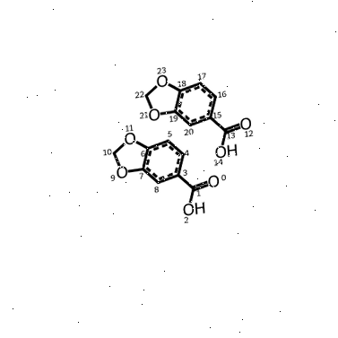 O=C(O)c1ccc2c(c1)OCO2.O=C(O)c1ccc2c(c1)OCO2